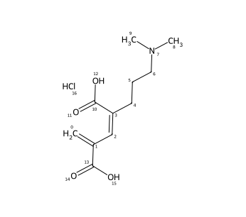 C=C(C=C(CCCN(C)C)C(=O)O)C(=O)O.Cl